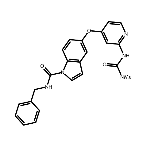 CNC(=O)Nc1cc(Oc2ccc3c(ccn3C(=O)NCc3ccccc3)c2)ccn1